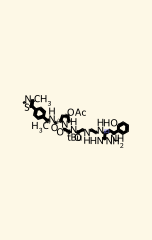 CC(=O)O[C@@H]1C[C@@H](C(=O)N[C@@H](C)c2ccc(-c3scnc3C)cc2)N(C(=O)[C@@H](NC(=O)CNCCN/C(=C/C(=N)c2ccccc2O)C(=N)N)C(C)(C)C)C1